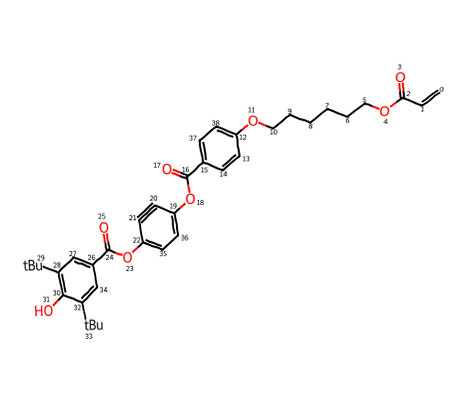 C=CC(=O)OCCCCCCOc1ccc(C(=O)Oc2c#cc(OC(=O)c3cc(C(C)(C)C)c(O)c(C(C)(C)C)c3)cc2)cc1